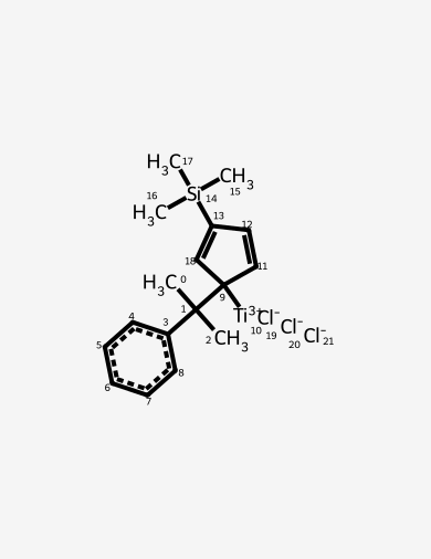 CC(C)(c1ccccc1)[C]1([Ti+3])C=CC([Si](C)(C)C)=C1.[Cl-].[Cl-].[Cl-]